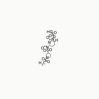 CS(=O)(=O)N1CC[C@H](S(=O)(=O)N(C=O)[C@H]2CC[C@@H]3CN2C(=O)N3OS(=O)(=O)O)C1